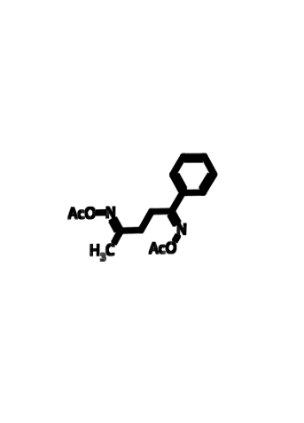 CC(=O)ON=C(C)CCC(=NOC(C)=O)c1ccccc1